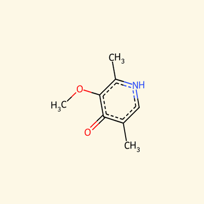 COc1c(C)[nH]cc(C)c1=O